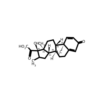 CC1C[C@H]2[C@@H]3CCC4=CC(=O)C=C[C@]4(C)[C@H]3CC[C@]2(C)[C@@]1(O)C(=O)C(=O)O